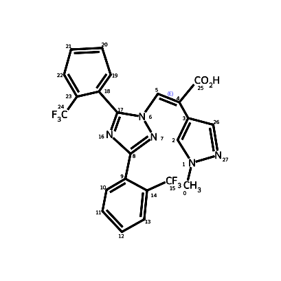 Cn1cc(/C(=C\n2nc(-c3ccccc3C(F)(F)F)nc2-c2ccccc2C(F)(F)F)C(=O)O)cn1